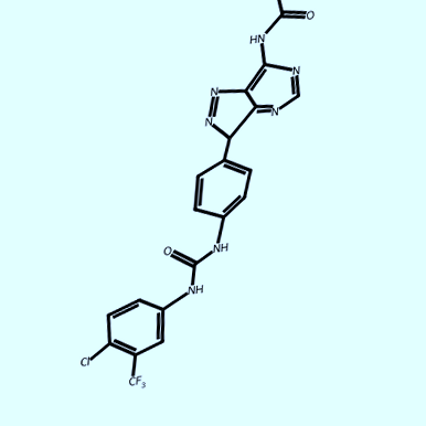 CC(C)COC(=O)Nc1ncnc2c1N=NC2c1ccc(NC(=O)Nc2ccc(Cl)c(C(F)(F)F)c2)cc1